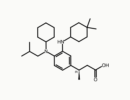 CC(C)CN(c1ccc([C@H](C)CC(=O)O)cc1NC1CCC(C)(C)CC1)C1CCCCC1